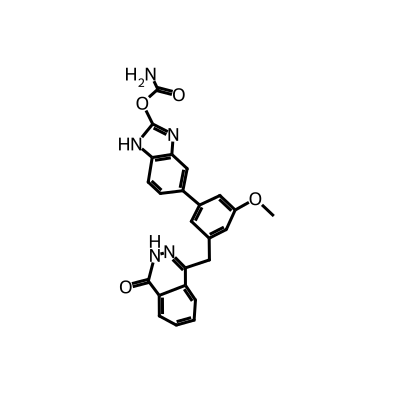 COc1cc(Cc2n[nH]c(=O)c3ccccc23)cc(-c2ccc3[nH]c(OC(N)=O)nc3c2)c1